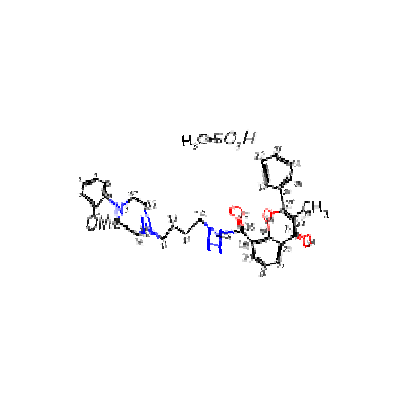 COc1ccccc1N1CCN(CCCCNC(=O)c2cccc3c(=O)c(C)c(-c4ccccc4)oc23)CC1.CS(=O)(=O)O